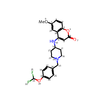 COc1ccc2oc(=O)cc(NC3CCN(Cc4ccc(OC(F)F)cc4)CC3)c2c1